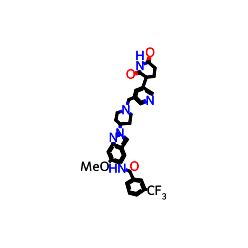 COc1cc2nn(C3CCN(Cc4cncc(C5CCC(=O)NC5=O)c4)CC3)cc2cc1NC(=O)c1cccc(C(F)(F)F)c1